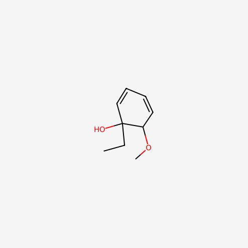 CCC1(O)C=CC=CC1OC